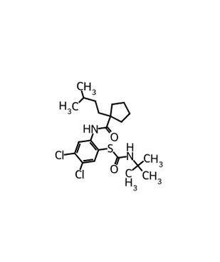 CC(C)CCC1(C(=O)Nc2cc(Cl)c(Cl)cc2SC(=O)NC(C)(C)C)CCCC1